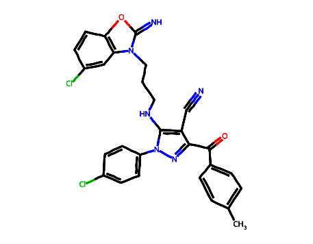 Cc1ccc(C(=O)c2nn(-c3ccc(Cl)cc3)c(NCCCn3c(=N)oc4ccc(Cl)cc43)c2C#N)cc1